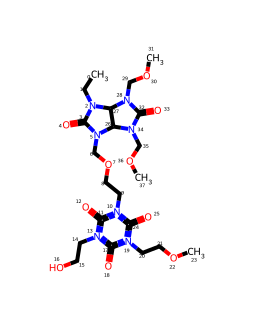 CCN1C(=O)N(COCCn2c(=O)n(CCO)c(=O)n(CCOC)c2=O)C2C1N(COC)C(=O)N2COC